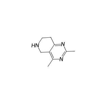 Cc1nc(C)c2c(n1)CCNC2